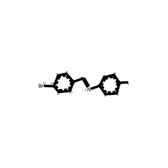 Cc1ccc(N=Cc2ccc(Br)cc2)cc1